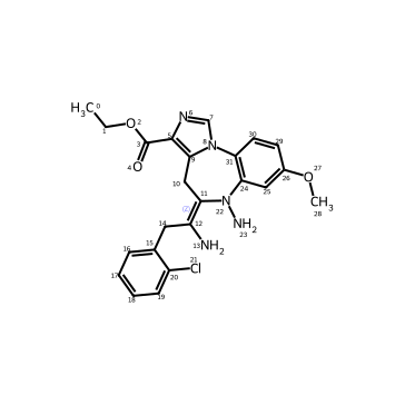 CCOC(=O)c1ncn2c1C/C(=C(/N)Cc1ccccc1Cl)N(N)c1cc(OC)ccc1-2